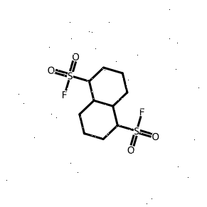 O=S(=O)(F)C1CCCC2C1CCCC2S(=O)(=O)F